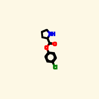 O=C(Oc1ccc(Cl)cc1)C1CCCN1